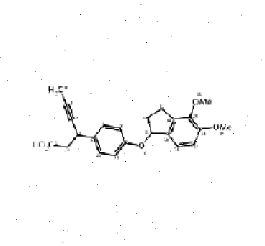 CC#CC(CC(=O)O)c1ccc(OC2CCc3c2ccc(OC)c3OC)cc1